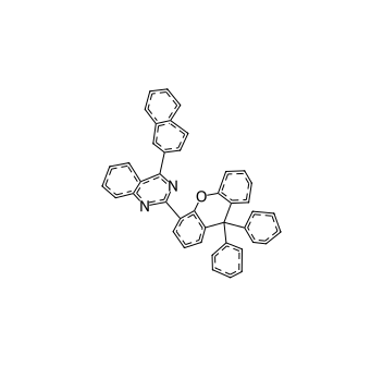 c1ccc(C2(c3ccccc3)c3ccccc3Oc3c(-c4nc(-c5ccc6ccccc6c5)c5ccccc5n4)cccc32)cc1